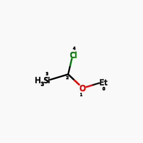 CCOC([SiH3])Cl